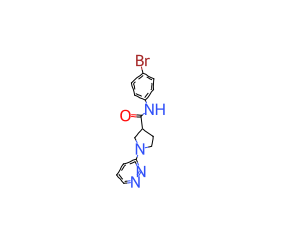 O=C(Nc1ccc(Br)cc1)C1CCN(c2cccnn2)C1